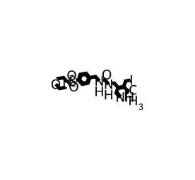 CC(I)/C(CI)=C(\C=N)CNC(=O)NCc1ccc(S(=O)(=O)N2CCOCC2)cc1